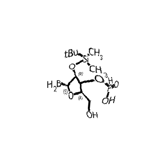 B[C@@H]1O[C@H](CO)C(O[PH](=O)O)[C@@H]1O[Si](C)(C)C(C)(C)C